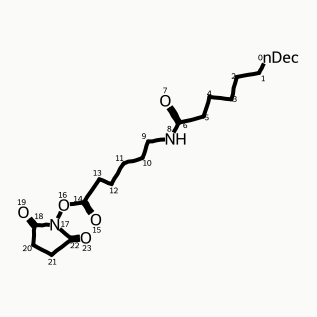 CCCCCCCCCCCCCCCC(=O)NCCCCCC(=O)ON1C(=O)CCC1=O